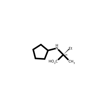 CC[C@@](C)(NC1CCCC1)C(=O)O